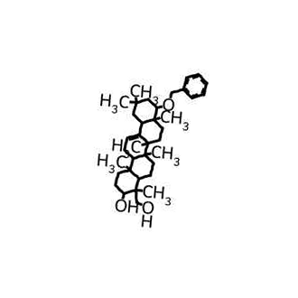 CC1(C)CC(OCc2ccccc2)C2(C)CCC3(C)C(=CCC4C5(C)CCC(O)C(C)(CO)C5CCC43C)C2C1